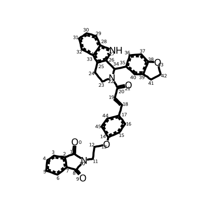 O=C1c2ccccc2C(=O)N1CCOc1ccc(C=CC(=O)N2CCc3c([nH]c4ccccc34)C2c2ccc3c(c2)CCO3)cc1